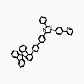 c1ccc(-c2nc(-c3ccc(-c4ccc(-c5cccc6c5-c5ccccc5C65c6ccccc6-c6ccccc65)cc4)cc3)cc(-c3ccc(-c4ccccn4)cc3)n2)cc1